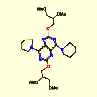 COCC(COc1nc(N2CCCCC2)c2nc(OCC(COC)OC)nc(N3CCCCC3)c2n1)OC